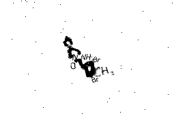 Cc1c(Br)cc(C[C@H](N)C(=O)N2CCC(N3CCCCC3)CC2)cc1Br